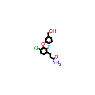 NC(=O)C[CH]c1ccc(Cl)c(Oc2cccc(CO)c2)c1F